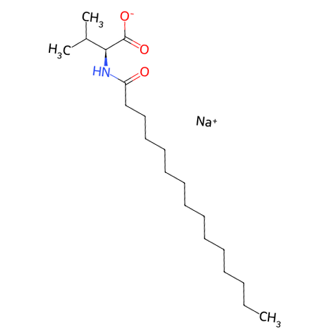 CCCCCCCCCCCCCCC(=O)N[C@H](C(=O)[O-])C(C)C.[Na+]